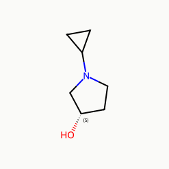 O[C@H]1CCN(C2CC2)C1